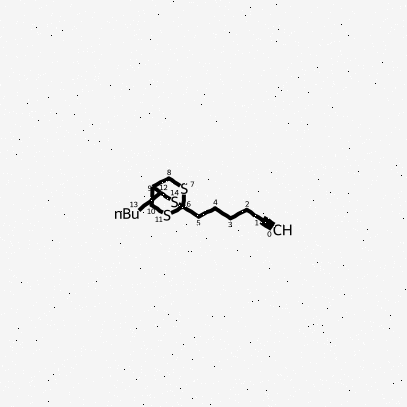 C#CCCCCC12SCC(CS1)C(CCCC)S2